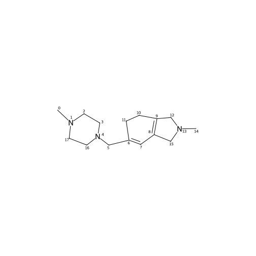 CN1CCN(CC2=CC3=C(CC2)CN(C)C3)CC1